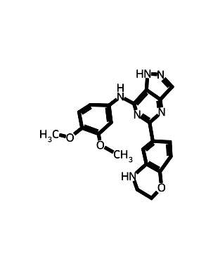 COc1ccc(Nc2nc(-c3ccc4c(c3)NCCO4)nc3cn[nH]c23)cc1OC